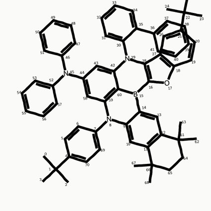 CC(C)(C)c1ccc(N2c3cc4c(cc3B3c5oc6ccc(C(C)(C)C)cc6c5N(c5ccccc5-c5ccccc5)c5cc(N(c6ccccc6)c6ccccc6)cc2c53)C(C)(C)CCC4(C)C)cc1